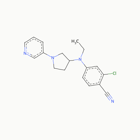 CCN(c1ccc(C#N)c(Cl)c1)C1CCN(c2cccnc2)C1